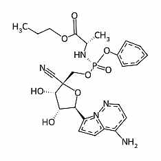 CCCOC(=O)[C@H](C)N[P@](=O)(OC[C@@]1(C#N)O[C@@H](c2ccc3c(N)ccnn23)[C@H](O)[C@@H]1O)Oc1ccccc1